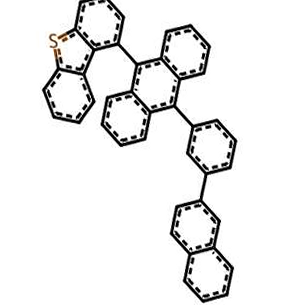 c1cc(-c2ccc3ccccc3c2)cc(-c2c3ccccc3c(-c3cccc4sc5ccccc5c34)c3ccccc23)c1